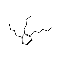 CCCCCc1[c]ccc(CCCC)c1CCCC